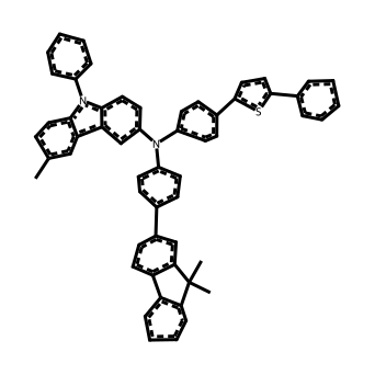 Cc1ccc2c(c1)c1cc(N(c3ccc(-c4ccc5c(c4)C(C)(C)c4ccccc4-5)cc3)c3ccc(-c4ccc(-c5ccccc5)s4)cc3)ccc1n2-c1ccccc1